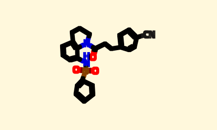 N#Cc1ccc(CCC(=O)N2CCCc3cccc(NS(=O)(=O)c4ccccc4)c32)cc1